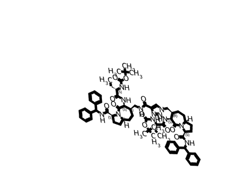 CC[C@H](NC(=O)OC(C)(C)C)C(=O)N[C@@H]1C(=O)N2[C@@H](CC[C@@H]1CNC(=O)c1cn(C[C@H]3CC[C@H]4CC[C@@H](C(=O)NC(c5ccccc5)c5ccccc5)N4C(=O)[C@H]3NC(=O)[C@H](CC)NC(=O)OC(C)(C)C)nn1)CC[C@H]2C(=O)NC(c1ccccc1)c1ccccc1